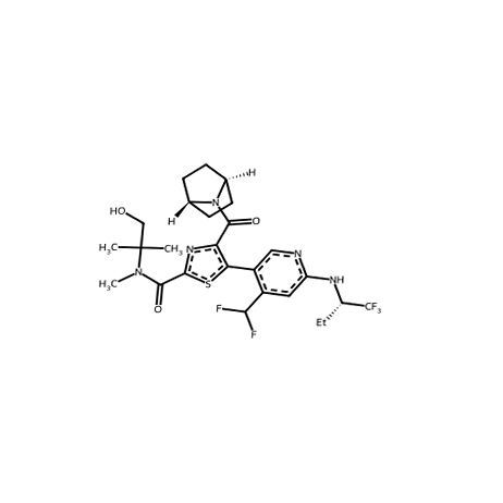 CC[C@H](Nc1cc(C(F)F)c(-c2sc(C(=O)N(C)C(C)(C)CO)nc2C(=O)N2[C@H]3CC[C@H]2CC3)cn1)C(F)(F)F